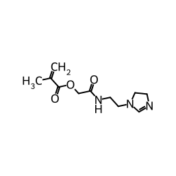 C=C(C)C(=O)OCC(=O)NCCN1C=NCC1